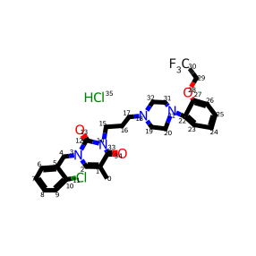 Cc1cn(Cc2ccccc2Cl)c(=O)n(CCCN2CCN(c3ccccc3OCC(F)(F)F)CC2)c1=O.Cl